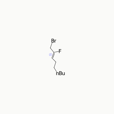 CCCCCC/C=C(\F)CBr